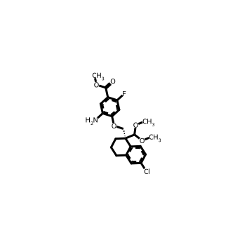 COC(=O)c1cc(N)c(OC[C@@]2(C(OC)OC)CCCc3cc(Cl)ccc32)cc1F